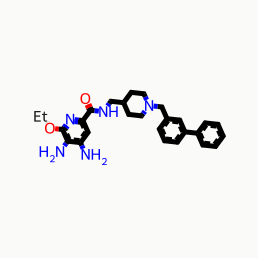 CCOc1nc(C(=O)NCC2CCN(Cc3cccc(-c4ccccc4)c3)CC2)cc(N)c1N